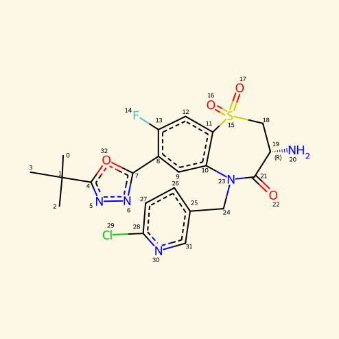 CC(C)(C)c1nnc(-c2cc3c(cc2F)S(=O)(=O)C[C@H](N)C(=O)N3Cc2ccc(Cl)nc2)o1